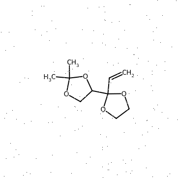 C=CC1(C2COC(C)(C)O2)OCCO1